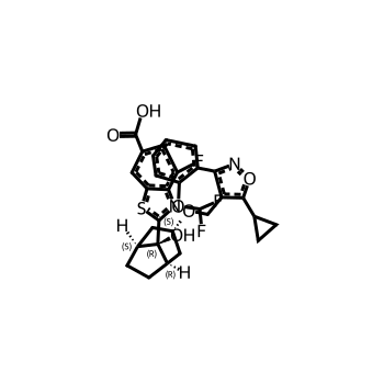 O=C(O)c1cc(F)c2nc([C@]3(O)[C@@H]4CC[C@H]3C[C@H](OCc3c(-c5ccccc5OC(F)F)noc3C3CC3)C4)sc2c1